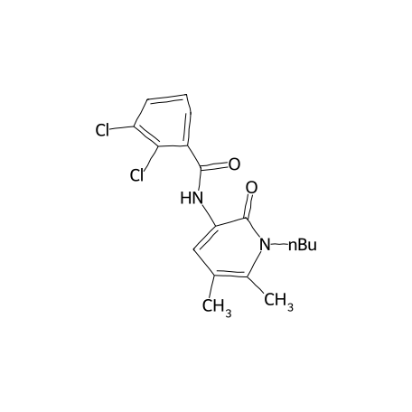 CCCCn1c(C)c(C)cc(NC(=O)c2cccc(Cl)c2Cl)c1=O